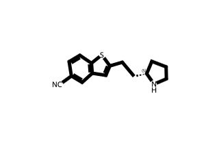 N#Cc1ccc2sc(CC[C@@H]3CCCN3)cc2c1